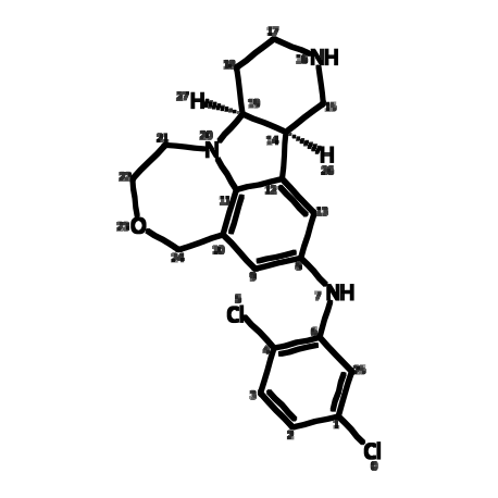 Clc1ccc(Cl)c(Nc2cc3c4c(c2)[C@@H]2CNCC[C@@H]2N4CCOC3)c1